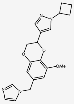 COc1cc(Cn2ccnc2)cc2c1OC(c1cnn(C3CCC3)c1)CO2